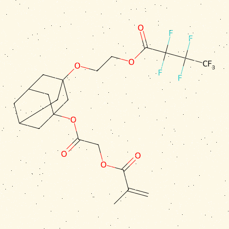 C=C(C)C(=O)OCC(=O)OC12CC3CC(CC(OCCOC(=O)C(F)(F)C(F)(F)C(F)(F)F)(C3)C1)C2